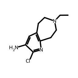 CCN1CCc2cc(N)c(Cl)nc2CC1